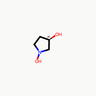 O[C@@H]1CCN(O)C1